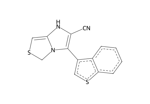 N#CC1=C(c2csc3ccccc23)N2CSC=C2N1